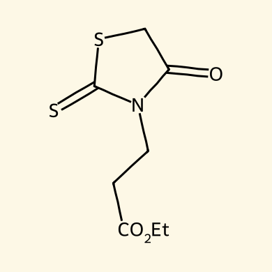 CCOC(=O)CCN1C(=O)CSC1=S